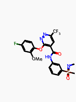 CN=S(C)(=O)c1cccc(NC(=O)c2cc(C(F)(F)F)nnc2Oc2ccc(F)cc2OC)c1